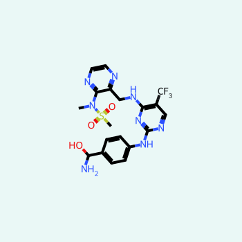 CN(c1nccnc1CNc1nc(Nc2ccc(C(N)O)cc2)ncc1C(F)(F)F)S(C)(=O)=O